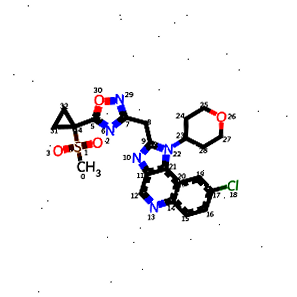 CS(=O)(=O)C1(c2nc(Cc3nc4cnc5ccc(Cl)cc5c4n3C3CCOCC3)no2)CC1